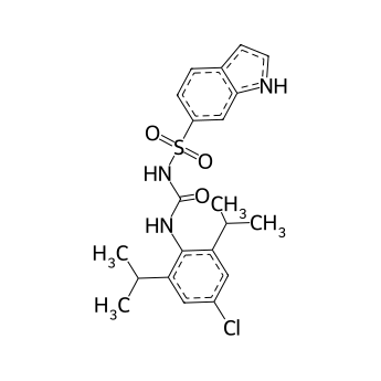 CC(C)c1cc(Cl)cc(C(C)C)c1NC(=O)NS(=O)(=O)c1ccc2cc[nH]c2c1